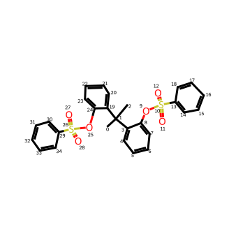 CC(C)(c1ccccc1OS(=O)(=O)c1ccccc1)c1ccccc1OS(=O)(=O)c1ccccc1